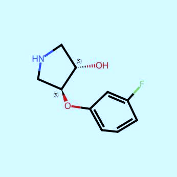 O[C@H]1CNC[C@@H]1Oc1cccc(F)c1